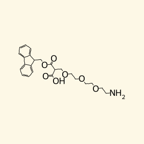 NCCOCCOCCOCC(C(=O)O)C(=O)OCC1c2ccccc2-c2ccccc21